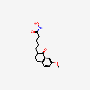 COc1ccc2c(c1)C(=O)C(CCCCC(=O)NO)CC2